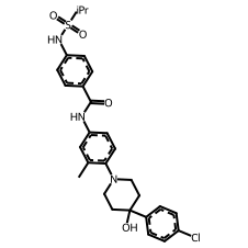 Cc1cc(NC(=O)c2ccc(NS(=O)(=O)C(C)C)cc2)ccc1N1CCC(O)(c2ccc(Cl)cc2)CC1